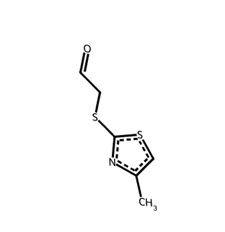 Cc1csc(SCC=O)n1